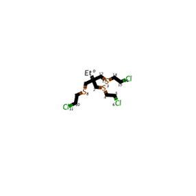 CCC(CSCCCl)(CSCCCl)CSCCCl